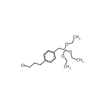 CCO[Si](Cc1ccc(CCCCl)cc1)(OCC)OCC